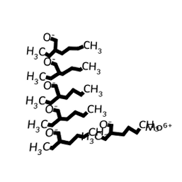 CCCCC(CC)C[O-].CCCCC(CC)C[O-].CCCCC(CC)C[O-].CCCCC(CC)C[O-].CCCCC(CC)C[O-].CCCCC(CC)C[O-].[Mo+6]